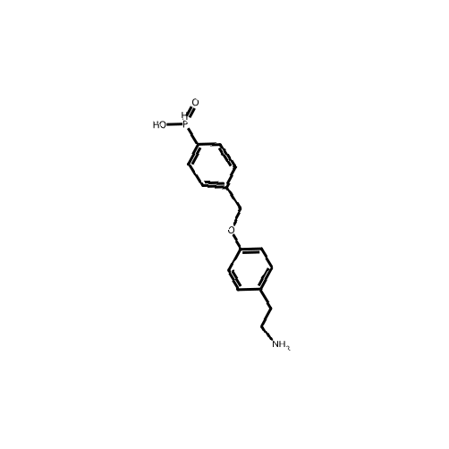 NCCc1ccc(OCc2ccc([PH](=O)O)cc2)cc1